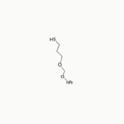 CCCOCOCCCS